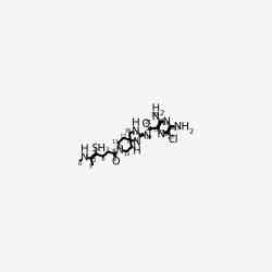 CN/C(C)=C(\S)CCC(=O)N1CCC2(CC1)CN/C(=N\C(=O)c1nc(Cl)c(N)nc1N)N2